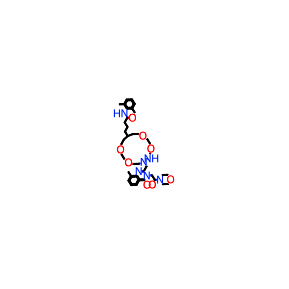 Cc1cccc(C)c1NC(=O)CCCC1CCOCCOCCN(Cc2nc3c(C)cccc3c(=O)n2CC(=O)N2CCOCC2)NCOCCOCC1